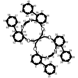 C1=Nc2c(cccc2-c2ccccc2)OCC2(COc3cccc(-c4ccccc4)c3N=1)COc1cccc(-c3ccccc3)c1N=C=Nc1c(cccc1-c1ccccc1)OC2